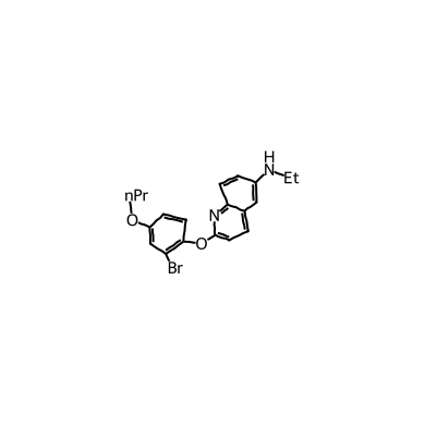 CCCOc1ccc(Oc2ccc3cc(NCC)ccc3n2)c(Br)c1